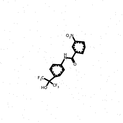 O=C(Nc1ccc(C(O)(C(F)(F)F)C(F)(F)F)cc1)c1cccc([N+](=O)[O-])c1